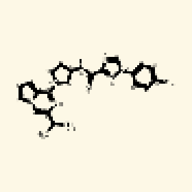 CC(C)c1cn2cccc2c(N2CCC(NC(=O)c3ncn(-c4ccc(F)cc4)n3)C2)n1